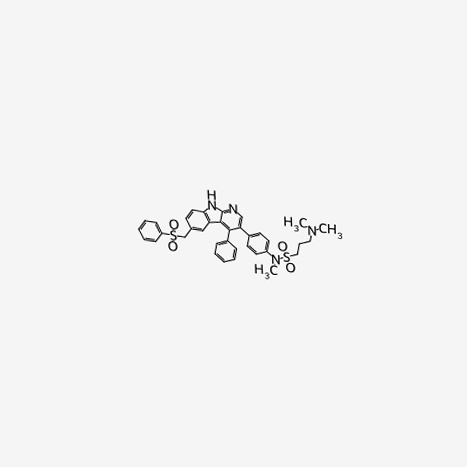 CN(C)CCCS(=O)(=O)N(C)c1ccc(-c2cnc3[nH]c4ccc(CS(=O)(=O)c5ccccc5)cc4c3c2-c2ccccc2)cc1